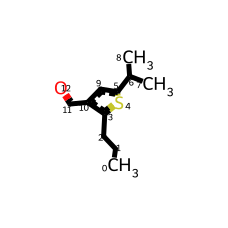 CCCc1sc(C(C)C)cc1C=O